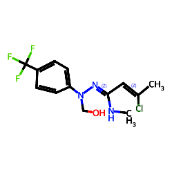 CNC(/C=C(/C)Cl)=N\N(CO)c1ccc(C(F)(F)F)cc1